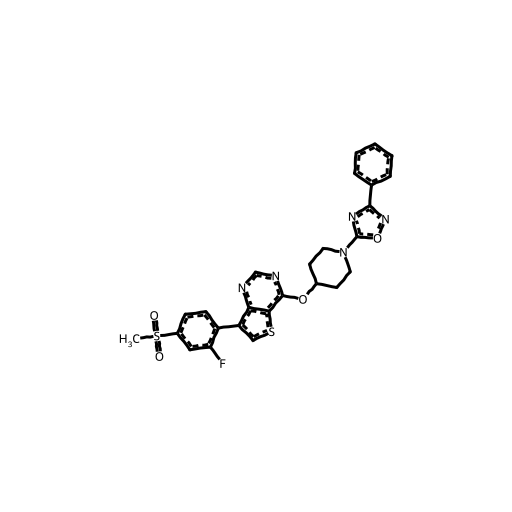 CS(=O)(=O)c1ccc(-c2csc3c(OC4CCN(c5nc(-c6ccccc6)no5)CC4)ncnc23)c(F)c1